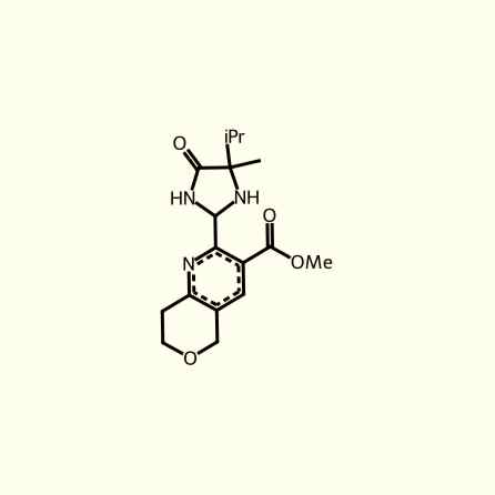 COC(=O)c1cc2c(nc1C1NC(=O)C(C)(C(C)C)N1)CCOC2